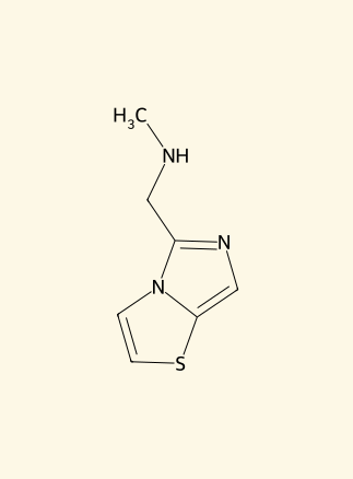 CNCc1ncc2sccn12